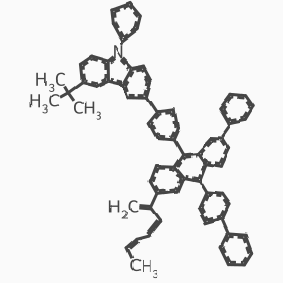 C=C(/C=C\C=C/C)c1ccc2c(-c3ccc(-c4ccc5c(c4)c4cc(C(C)(C)C)ccc4n5-c4ccccc4)cc3)c3cc(-c4ccccc4)ccc3c(-c3ccc(-c4ccccc4)cc3)c2c1